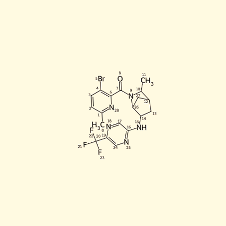 Cc1ccc(Br)c(C(=O)N2C(C)C3CC(Nc4cnc(C(F)(F)F)cn4)C2C3)n1